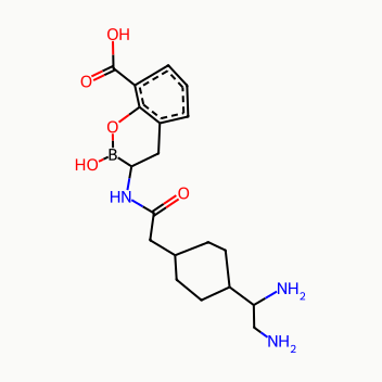 NCC(N)C1CCC(CC(=O)NC2Cc3cccc(C(=O)O)c3OB2O)CC1